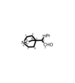 CCCC(C=O)C12CCN(CC1)CC2